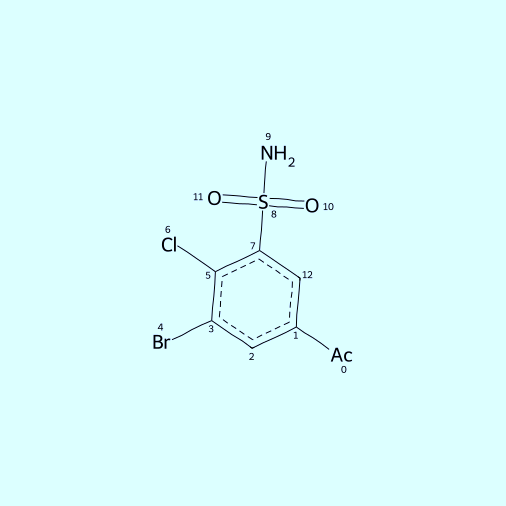 CC(=O)c1cc(Br)c(Cl)c(S(N)(=O)=O)c1